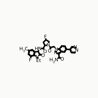 CCN1C(=O)C(NC(=O)C2CC(F)CN2C(=O)Cn2nc(C(N)=O)c3cc(-c4ccnnc4)ccc32)c2cc(C)cc(F)c21